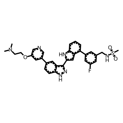 CN(C)CCOc1cncc(-c2ccc3[nH]nc(-c4cc5c(-c6cc(F)cc(CNS(C)(=O)=O)c6)cccc5[nH]4)c3c2)c1